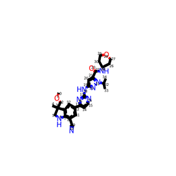 COCC1(C)CNc2c(C#N)cc(-c3ccnc(Nc4cc(C(=O)NC5CCOCC5)n(C(C)C)n4)n3)cc21